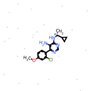 COc1ccc(-c2ncnc(N[C@H](C)C3CC3)c2N)c(Cl)c1